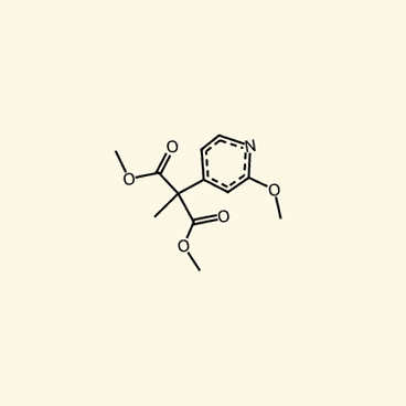 COC(=O)C(C)(C(=O)OC)c1ccnc(OC)c1